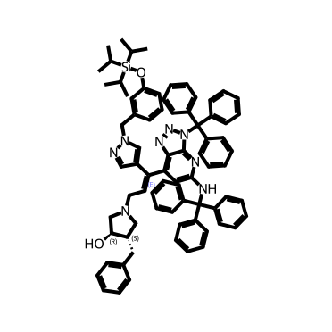 CC(C)[Si](Oc1cccc(Cn2cc(/C(=C\CN3C[C@H](Cc4ccccc4)[C@@H](O)C3)c3cc(NC(c4ccccc4)(c4ccccc4)c4ccccc4)nc4c3nnn4C(c3ccccc3)(c3ccccc3)c3ccccc3)cn2)c1)(C(C)C)C(C)C